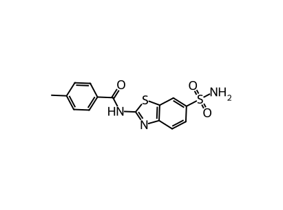 Cc1ccc(C(=O)Nc2nc3ccc(S(N)(=O)=O)cc3s2)cc1